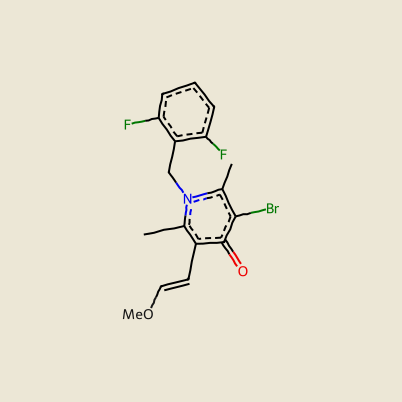 CO/C=C/c1c(C)n(Cc2c(F)cccc2F)c(C)c(Br)c1=O